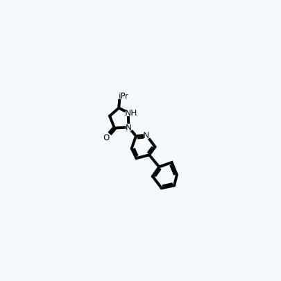 CC(C)C1CC(=O)N(c2ccc(-c3ccccc3)cn2)N1